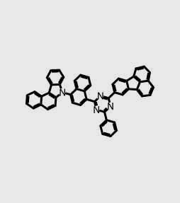 c1ccc(-c2nc(-c3ccc4c(c3)-c3cccc5cccc-4c35)nc(-c3ccc(-n4c5ccccc5c5c6ccccc6ccc54)c4ccccc34)n2)cc1